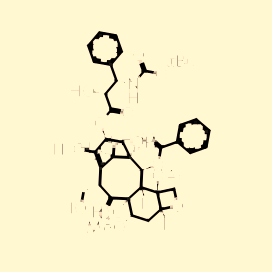 CO[C@H]1C[C@H]2OC[C@@]2(OC(C)=O)[C@H]2[C@H](OC(=O)c3ccccc3)[C@]3(O)C[C@H](OC(=O)[C@H](O)[C@@H](NC(=O)OC(C)(C)C)c4ccccc4)C(C)=C([C@@H](CO)C(=O)[C@]12C)C3(C)C